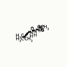 CC(C)(C)C#CCNC(=O)NCCS(C)(=O)=O